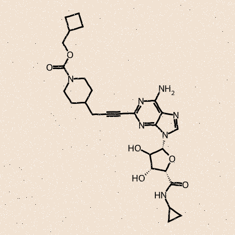 Nc1nc(C#CCC2CCN(C(=O)OCC3CCC3)CC2)nc2c1ncn2[C@@H]1O[C@H](C(=O)NC2CC2)[C@H](O)C1O